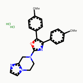 COc1ccc(-c2nc(N3CCn4ccnc4C3)oc2-c2ccc(OC)cc2)cc1.Cl.Cl